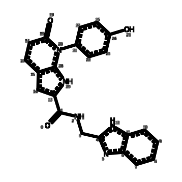 O=C(NCc1nc2ccccc2[nH]1)c1cc2ccc(=O)n(-c3ccc(O)cc3)c2[nH]1